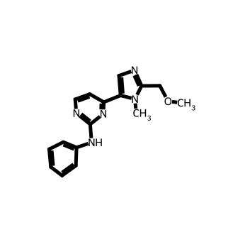 COCc1ncc(-c2ccnc(Nc3ccccc3)n2)n1C